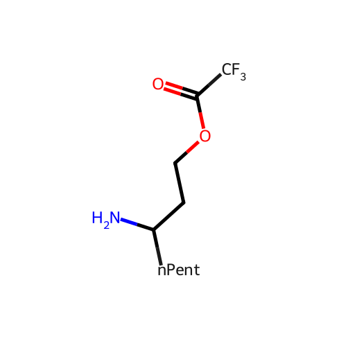 CCCCCC(N)CCOC(=O)C(F)(F)F